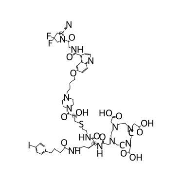 N#C[C@H]1CC(F)(F)CN1C(=O)CNC(=O)c1ccnc2ccc(OCCCCN3CCN(C(=O)[C@H](O)CSCCNC(=O)[C@H](CCCCNC(=O)CCCc4ccc(I)cc4)NC(=O)CN4CCN(CC(=O)O)CCN(CC(=O)O)CCN(CC(=O)O)CC4)CC3)cc12